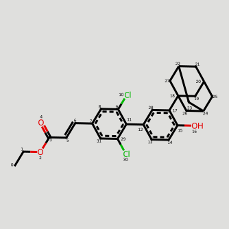 CCOC(=O)/C=C/c1cc(Cl)c(-c2ccc(O)c(C34CC5CC(CC(C5)C3)C4)c2)c(Cl)c1